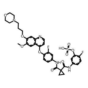 COc1cc2c(Oc3ccc(NC(=O)C4(C(=O)Nc5ccc(F)c(OS(=O)(=O)O)c5)CC4)cc3F)ccnc2cc1OCCCN1CCOCC1